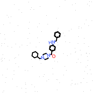 O=C(c1ccc(NCc2ccccc2)cc1)N1CCN(CC2CCCCC2)CC1